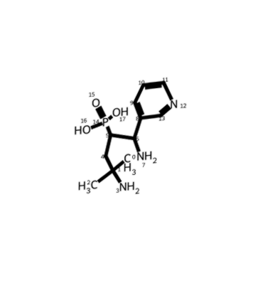 CC(C)(N)CC(C(N)c1cccnc1)P(=O)(O)O